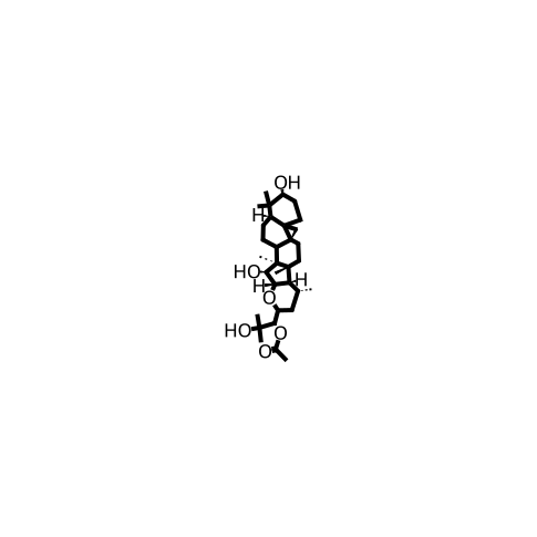 CC(=O)O[C@@H](C1C[C@@H](C)[C@H]2[C@H](O1)[C@H](O)[C@@]1(C)C3CC[C@H]4C(C)(C)[C@@H](O)CCC45C[C@@]35CC[C@]21C)C(C)(C)O